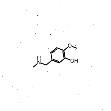 CNCc1ccc(OC)c(O)c1